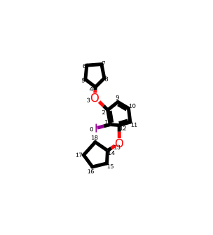 Ic1c(OC2CCCC2)cccc1OC1CCCC1